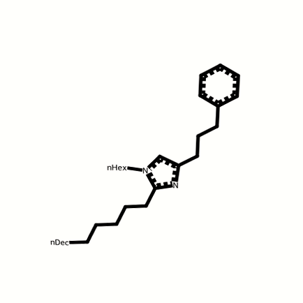 CCCCCCCCCCCCCCCc1nc(CCCc2ccccc2)cn1CCCCCC